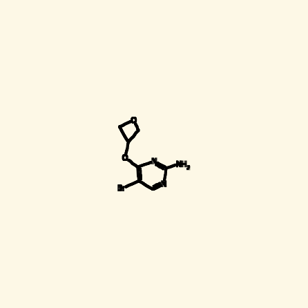 Nc1ncc(Br)c(OC2COC2)n1